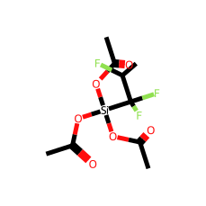 CC(=O)O[Si](OC(C)=O)(OC(C)=O)C(F)(F)C(C)F